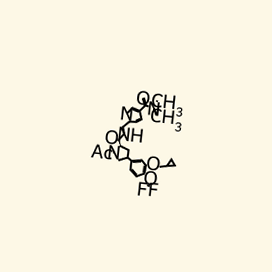 CC(=O)N1CC(c2ccc(OC(F)F)c(OCC3CC3)c2)C[C@@H]1C(=O)NCc1ccc(C(=O)N(C)C)cn1